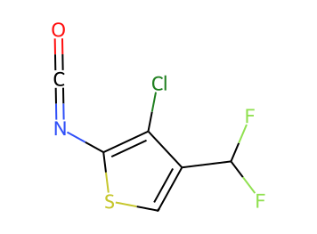 O=C=Nc1scc(C(F)F)c1Cl